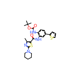 Cc1nc(N2CCCCC2)sc1C(=O)Nc1cc(-c2cccs2)ccc1NC(=O)OC(C)(C)C